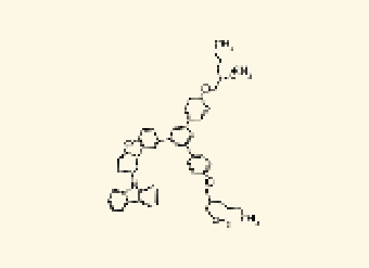 CCCCC(CC)COc1ccc(-c2cc(-c3ccc(OCC(CC)CCCC)cc3)cc(-c3ccc4oc5ccc(-n6c7ccccc7c7ccccc76)cc5c4c3)c2)cc1